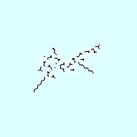 C=CCC[C@H](NC(=O)[C@@H](CO)NC(=O)[C@H](CC(C)C)NC(=O)[C@@H](CO)NC(=O)[C@H](CCCCCCCC)NC(C)=O)C(=O)N(C)[C@@H]1CC(C)N([C@@H](CC(=O)O)C(=O)N[C@H](CCCCCCCC)C(=O)N[C@@H](CC(=O)O)C(=O)NCC(=O)N[C@@H](CC(C)C)C(N)=O)C1=O